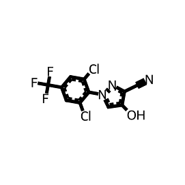 N#Cc1nn(-c2c(Cl)cc(C(F)(F)F)cc2Cl)cc1O